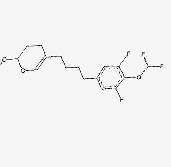 CC1CCC(CCCCc2cc(F)c(OC(F)F)c(F)c2)=CO1